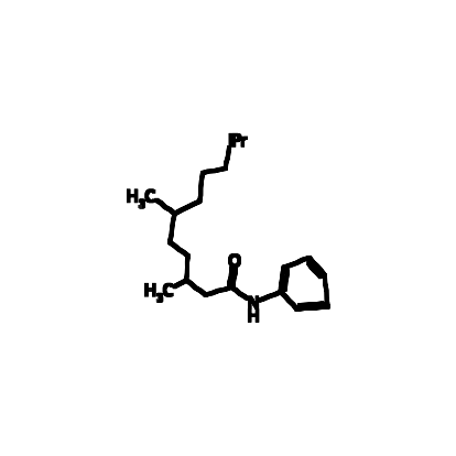 CC(C)CCCC(C)CCC(C)CC(=O)Nc1ccccc1